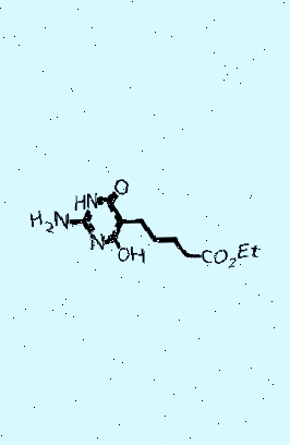 CCOC(=O)CCCCc1c(O)nc(N)[nH]c1=O